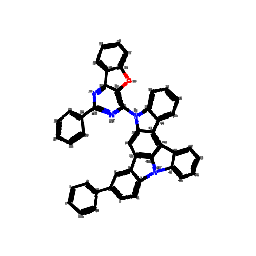 c1ccc(-c2ccc3c(c2)c2cc4c(c5ccccc5n4-c4nc(-c5ccccc5)nc5c4oc4ccccc45)c4c5ccccc5n3c24)cc1